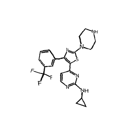 FC(F)(F)c1cccc(-c2nc(N3CCNCC3)sc2-c2ccnc(NC3CC3)n2)c1